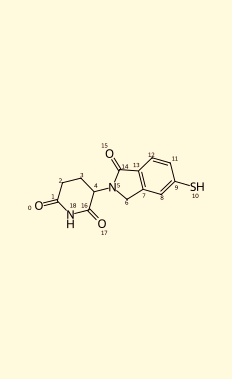 O=C1CCC(N2Cc3cc(S)ccc3C2=O)C(=O)N1